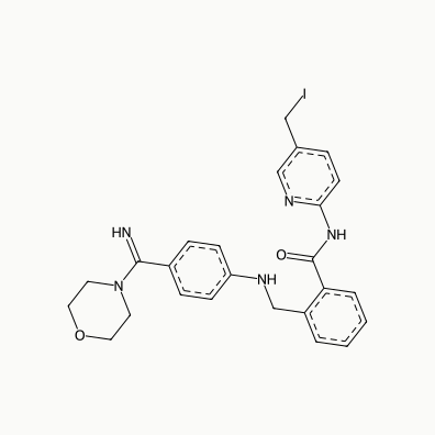 N=C(c1ccc(NCc2ccccc2C(=O)Nc2ccc(CI)cn2)cc1)N1CCOCC1